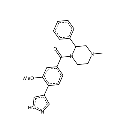 COc1cc(C(=O)N2CCN(C)CC2c2ccccc2)ccc1-c1cn[nH]c1